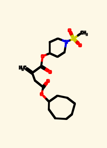 C=C(CC(=O)OC1CCCCCCC1)C(=O)OC1CCN(S(C)(=O)=O)CC1